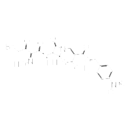 CC1S[C@@H]2C(NC(=O)C(=NO)C(=O)CBr)C(=O)N2C=C1C(=O)OCc1ccc([N+](=O)[O-])cc1